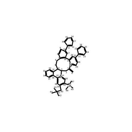 C=C1CC2C(CCc3ccc(-c4ccccc4)cc3-c3cc(-c4ccccc4)cc[n+]31)c1ccccc1-c1cc(CC(C)(C)C)c([Si](C)(C)C)c[n+]12